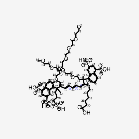 COCCOCCOCCOCCOCCN1C=C(/C=C/C=C/C=C2/N(CCCCCC(=O)O)c3ccc4c(S(=O)(=O)O)cc(S(=O)(=O)O)cc4c3C2(C)CCOCCOCCOCCOC)C(C)(CCCS(=O)(=O)O)c2c1ccc1c(S(=O)(=O)O)cc(S(=O)(=O)O)cc21